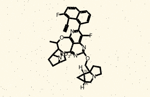 C#Cc1c(F)ccc2cccc(-c3nc4c5c(nc(OCC67CCCN6C[C@@H]6C[C@@H]67)nc5c3F)N3CC5CCC(C3C(C)O4)N5C(=O)O)c12